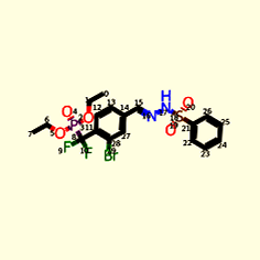 CCOP(=O)(OCC)C(F)(F)c1ccc(C=NNS(=O)(=O)c2ccccc2)cc1Br